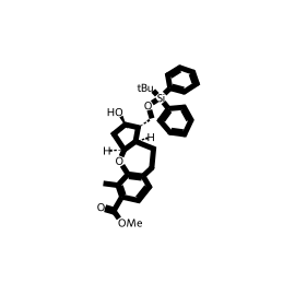 COC(=O)c1ccc2c(c1C)O[C@H]1C[C@@H](O)[C@H](CO[Si](c3ccccc3)(c3ccccc3)C(C)(C)C)[C@H]1CC2